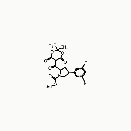 CC(C)(C)OC(=O)N1CC(c2cc(F)cc(F)c2)CC1C(=O)C1C(=O)OC(C)(C)OC1=O